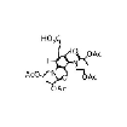 CC(=O)OCCN(C(=O)C(C)OC(C)=O)c1c(I)c(CCC(=O)O)c(I)c(N(CCOC(C)=O)C(=O)C(C)OC(C)=O)c1I